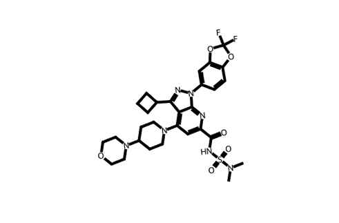 CN(C)S(=O)(=O)NC(=O)c1cc(N2CCC(N3CCOCC3)CC2)c2c(C3CCC3)nn(-c3ccc4c(c3)OC(F)(F)O4)c2n1